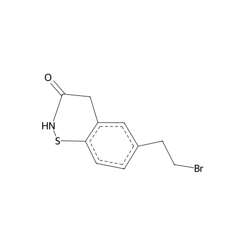 O=C1Cc2cc(CCBr)ccc2SN1